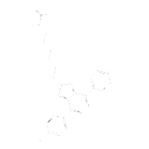 C=C(C)CCCCCCCn1nc2c(-c3ccc(C(C)(C)C)cc3)ccc(-c3ccc(C(C)(C)C)cc3)c2n1